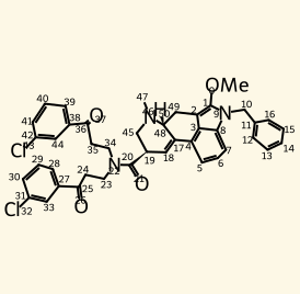 COc1c2c3c(cccc3n1Cc1ccccc1)C1=C[C@@H](C(=O)N(CCC(=O)c3cccc(Cl)c3)CCC(=O)c3cccc(Cl)c3)CN(C)[C@@H]1C2